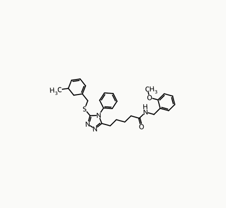 COc1ccccc1CNC(=O)CCCCc1nnc(SCC2=CC=CC(C)C2)n1-c1ccccc1